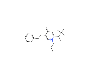 C=C1C=C(C(C)C(C)(C)C)N(CCC)C=C1CCc1ccccc1